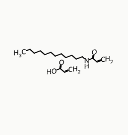 C=CC(=O)NCCCCCCCCCCCC.C=CC(=O)O